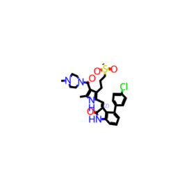 Cc1[nH]c(/C=C2\C(=O)Nc3cccc(-c4ccc(Cl)cc4)c32)c(CCCS(C)(=O)=O)c1C(=O)N1CCN(C)CC1